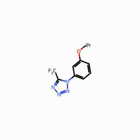 CC(C)Oc1cccc(-n2nnnc2C(F)(F)F)c1